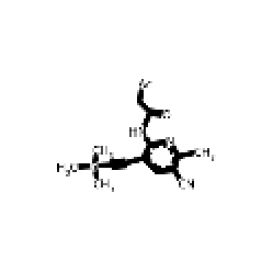 CC(=O)CC(=O)Nc1nc(C)c(C#N)cc1C#C[Si](C)(C)C